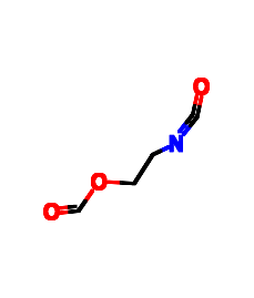 O=C=NCCOC=O